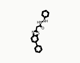 O=C(Cc1nc2ccc(-c3ccccc3)cc2s1)NNc1ccccc1